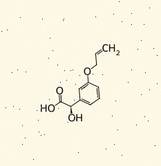 C=CCOc1cccc([C@@H](O)C(=O)O)c1